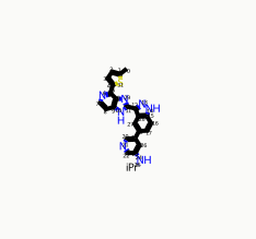 Cc1ccc(-c2nccc3[nH]c(-c4n[nH]c5ccc(-c6cncc(NC(C)C)c6)cc45)nc23)s1